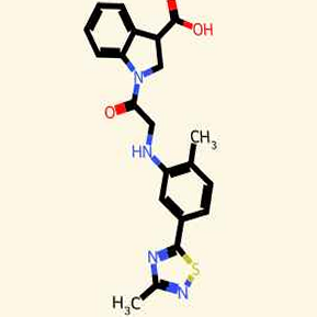 Cc1nsc(-c2ccc(C)c(NCC(=O)N3CC(C(=O)O)c4ccccc43)c2)n1